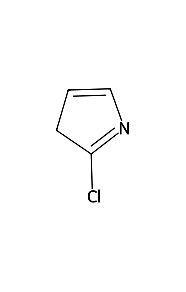 ClC1=NC=CC1